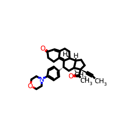 CC#C[C@]1(C(C)=O)CC[C@H]2[C@@H]3CCC4=CC(=O)CCC4=C3[C@@H](c3ccc(N4CCOCC4)cc3)C[C@@]21C